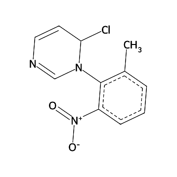 Cc1cccc([N+](=O)[O-])c1N1C=NC=CC1Cl